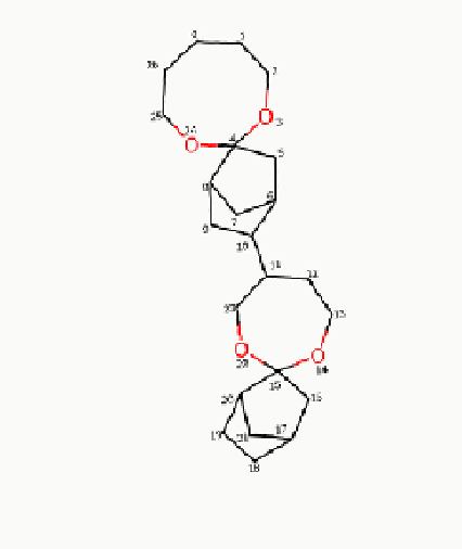 C1CCOC2(CC3CC2CC3C2CCOC3(CC4CCC3C4)OC2)OCC1